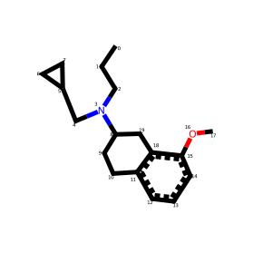 CCCN(CC1CC1)C1CCc2cccc(OC)c2C1